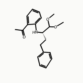 COC(OC)[C@H](CCc1ccccc1)Nc1ccccc1C(C)=O